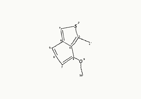 [CH2]c1scc2cccc(OC)c12